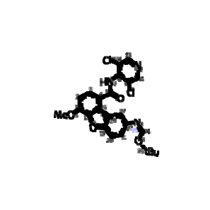 COc1ccc(C(=O)Nc2c(Cl)cncc2Cl)c2c1oc1ccc(/N=C\OC(C)(C)C)cc12